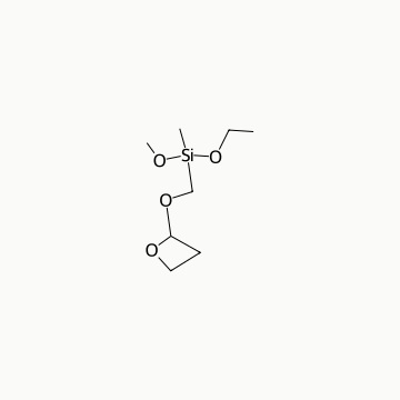 CCO[Si](C)(COC1CCO1)OC